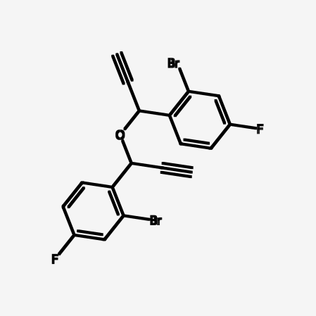 C#CC(OC(C#C)c1ccc(F)cc1Br)c1ccc(F)cc1Br